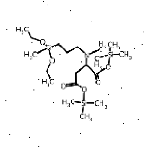 CCO[Si](C)(CCCN(C)C(CC(=O)O[Si](C)(C)C)C(=O)O[Si](C)(C)C)OCC